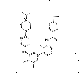 Cc1c(NC(=O)c2ccc(C(C)(C)C)cc2)cccc1-c1cc(Nc2ccc(N3CCN(C(C)C)CC3)nn2)c(=O)n(C)c1